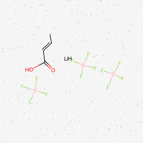 C/C=C/C(=O)O.F[B-](F)(F)F.F[B-](F)(F)F.F[B-](F)(F)F.[LiH]